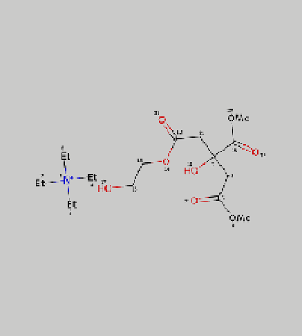 CC[N+](CC)(CC)CC.COC(=O)CC(O)(CC(=O)OCCO)C(=O)OC